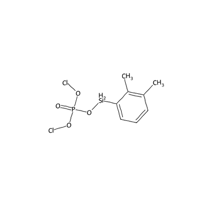 Cc1cccc([SiH2]OP(=O)(OCl)OCl)c1C